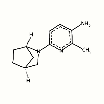 Cc1nc(N2C[C@H]3CC[C@@H]2C3)ccc1N